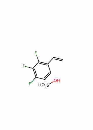 C=Cc1ccc(F)c(F)c1F.O=S(=O)(O)O